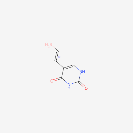 B/C=C/c1c[nH]c(=O)[nH]c1=O